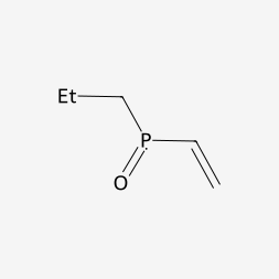 C=C[P](=O)CCC